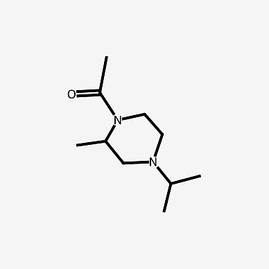 CC(=O)N1CCN(C(C)C)CC1C